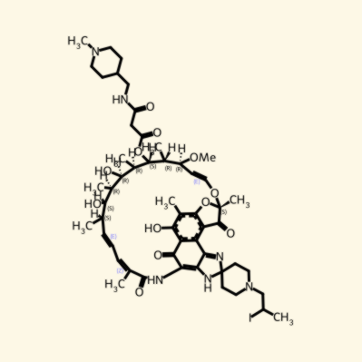 CO[C@H]1/C=C/O[C@@]2(C)Oc3c(C)c(O)c4c(c3C2=O)C2=NC3(CCN(CC(C)I)CC3)NC2=C(NC(=O)/C(C)=C\C=C\[C@H](C)[C@H](O)[C@@H](C)[C@@H](O)[C@@H](C)[C@H](OC(=O)CC(=O)NCC2CCN(C)CC2)[C@@H]1C)C4=O